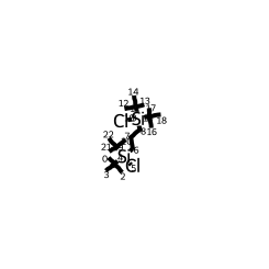 CC(C)(C)[Si](Cl)(CCC[Si](Cl)(C(C)(C)C)C(C)(C)C)C(C)(C)C